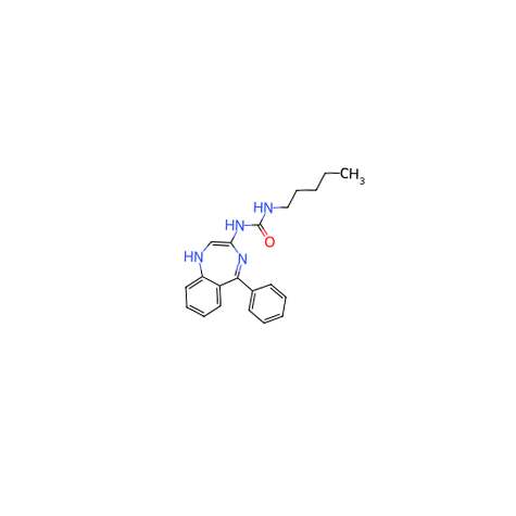 CCCCCNC(=O)NC1=CNc2ccccc2C(c2ccccc2)=N1